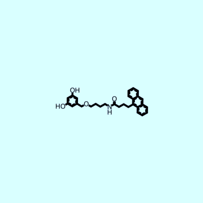 O=C(CCCc1c2ccccc2cc2ccccc12)NCCCCOCc1cc(O)cc(O)c1